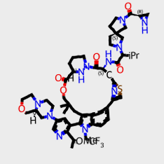 CO[C@@H](C)c1ncc(N2CCN3CCOC[C@@H]3C2)cc1-c1c2c3cc(ccc3n1CC(F)(F)F)-c1csc(n1)C[C@H](NC(=O)C(C(C)C)N1CC[C@]3(CCN(C(=O)[C@H]4CN4)C3)C1)C(=O)N1CCC[C@H](N1)C(=O)OCC(C)(C)C2